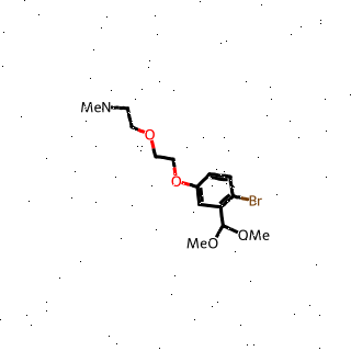 CNCCOCCOc1ccc(Br)c(C(OC)OC)c1